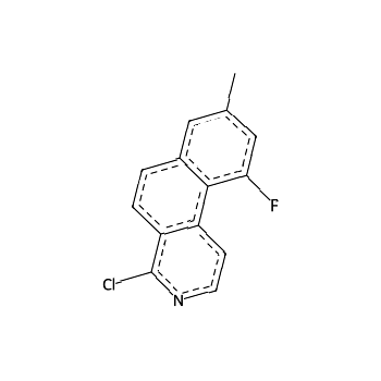 Cc1cc(F)c2c(ccc3c(Cl)nccc32)c1